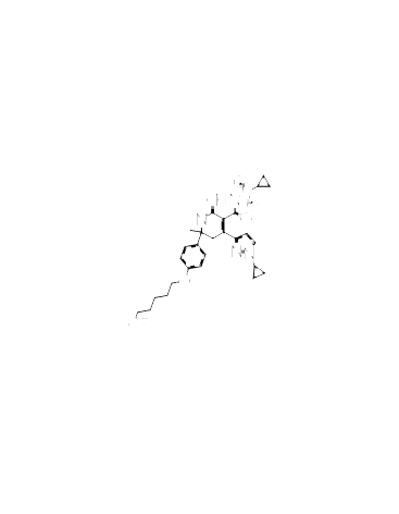 CC1(c2ccc(OCCCCCC(F)(F)F)cc2)CC(c2ccn(C3CC3)n2)=C(C(=O)NS(=O)(=O)C2CC2)C(=O)N1